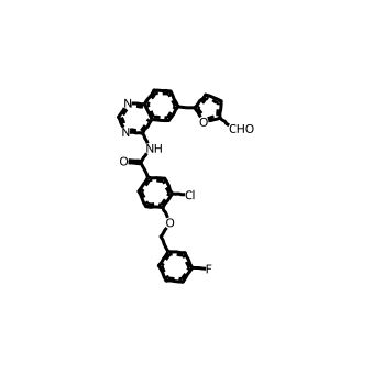 O=Cc1ccc(-c2ccc3ncnc(NC(=O)c4ccc(OCc5cccc(F)c5)c(Cl)c4)c3c2)o1